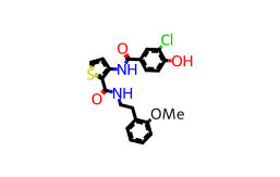 COc1ccccc1CCNC(=O)c1sccc1NC(=O)c1ccc(O)c(Cl)c1